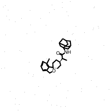 Cc1cccc2c1[C@]1(CC[C@H](C(C)C(=O)NC34CC5CC(CC(C5)C3)C4)CC1)OC2